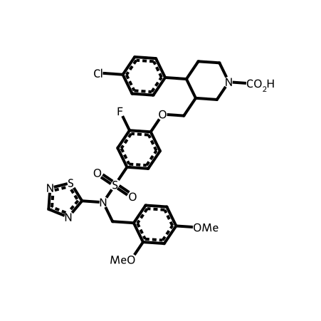 COc1ccc(CN(c2ncns2)S(=O)(=O)c2ccc(OCC3CN(C(=O)O)CCC3c3ccc(Cl)cc3)c(F)c2)c(OC)c1